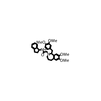 COc1ccc(CC2c3cc(OC)c(OC)cc3CCCN2CC(=O)NC2CCc3ccccc32)cc1OC